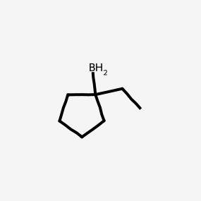 BC1(CC)CCCC1